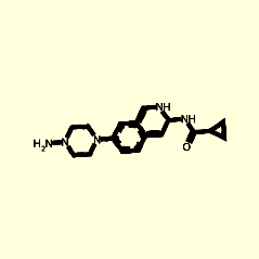 NN1CCN(c2ccc3c(c2)=CNC(NC(=O)C2CC2)C=3)CC1